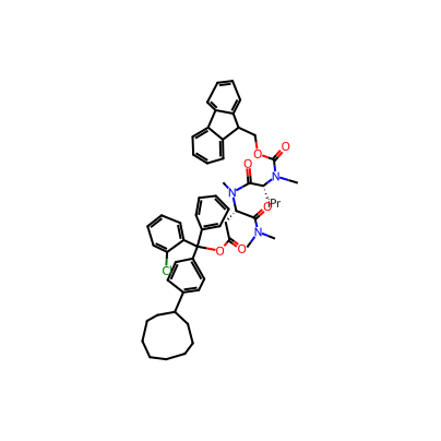 CC(C)[C@H](C(=O)N(C)[C@@H](CC(=O)OC(c1ccccc1)(c1ccc(C2CCCCCCCC2)cc1)c1ccccc1Cl)C(=O)N(C)C)N(C)C(=O)OCC1c2ccccc2-c2ccccc21